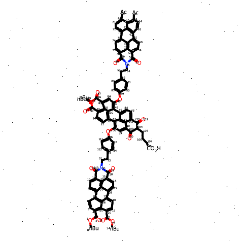 CCCCOC(=O)c1ccc2c3ccc4c5c(ccc(c6ccc(C(=O)OCCCC)c1c26)c53)C(=O)N(CCc1ccc(Oc2cc3c5c(ccc6c7c(Oc8ccc(CCN9C(=O)c%10ccc%11c%12ccc(C(C)=O)c%13c(C(C)=O)ccc(c%14ccc(c%10c%11%14)C9=O)c%13%12)cc8)cc(C(=O)OCCCC)c8c(C(=O)OCCCC)ccc(c2c56)c87)C(=O)C(CCCC(=O)O)C3=O)cc1)C4=O